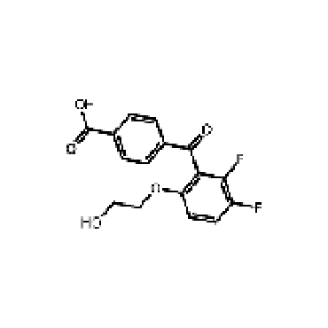 O=C(O)c1ccc(C(=O)c2c(OCCO)ccc(F)c2F)cc1